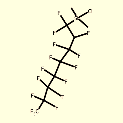 C[Si](C)(Cl)C(F)(F)C(F)C(F)(F)C(F)(F)C(F)(F)C(F)(F)C(F)(F)C(F)(F)F